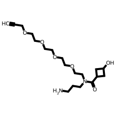 C#CCOCCOCCOCCOCCN(CCCN)C(=O)C1CC(O)C1